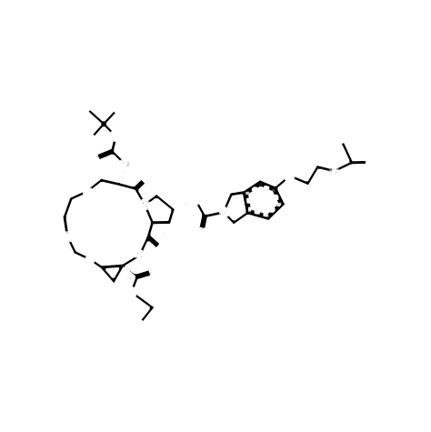 CCOC(=O)[C@@]12CC1CCCCCCC[C@H](NC(=O)OC(C)(C)C)C(=O)N1C[C@H](OC(=O)N3Cc4ccc(OCCNC(C)C)cc4C3)C[C@H]1C(=O)N2